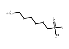 CCCCCCCCCCCCP(C)(=O)O